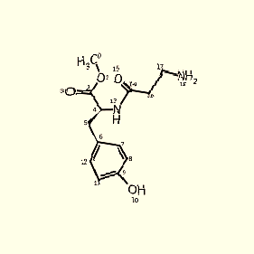 COC(=O)[C@H](Cc1ccc(O)cc1)NC(=O)CCN